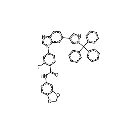 O=C(Nc1ccc2c(c1)OCO2)c1ccc(-n2cnc3ccc(-c4cnn(C(c5ccccc5)(c5ccccc5)c5ccccc5)c4)cc32)cc1F